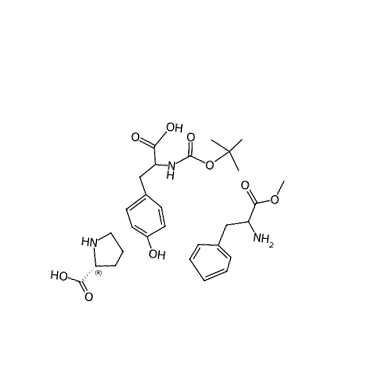 CC(C)(C)OC(=O)NC(Cc1ccc(O)cc1)C(=O)O.COC(=O)C(N)Cc1ccccc1.O=C(O)[C@H]1CCCN1